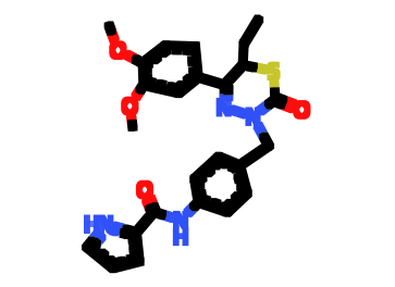 CCC1SC(=O)N(Cc2ccc(NC(=O)c3ccc[nH]3)cc2)N=C1c1ccc(OC)c(OC)c1